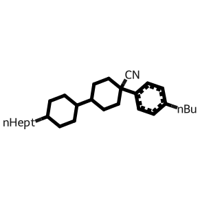 CCCCCCCC1CCC(C2CCC(C#N)(c3ccc(CCCC)cc3)CC2)CC1